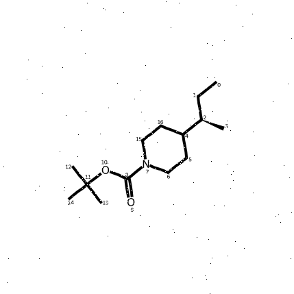 CC[C@@H](C)C1CCN(C(=O)OC(C)(C)C)CC1